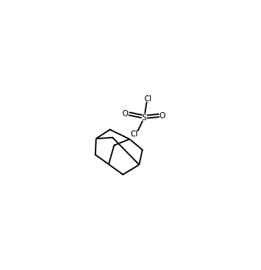 C1C2CC3CC1CC(C2)C3.O=S(=O)(Cl)Cl